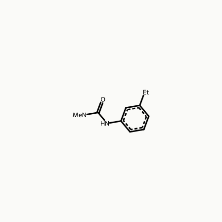 CCc1cccc(NC(=O)NC)c1